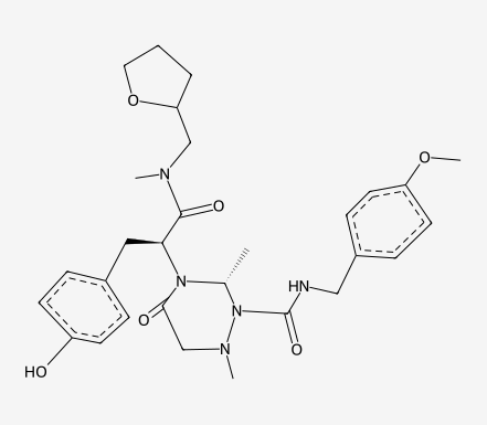 COc1ccc(CNC(=O)N2[C@@H](C)N([C@@H](Cc3ccc(O)cc3)C(=O)N(C)CC3CCCO3)C(=O)CN2C)cc1